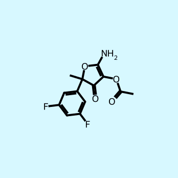 CC(=O)OC1=C(N)OC(C)(c2cc(F)cc(F)c2)C1=O